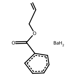 C=CCOC(=O)c1ccccc1.[BaH2]